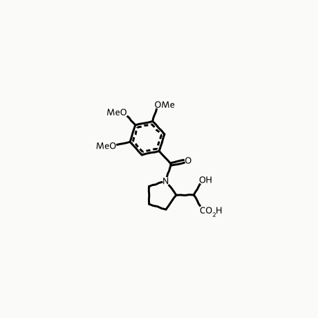 COc1cc(C(=O)N2CCCC2C(O)C(=O)O)cc(OC)c1OC